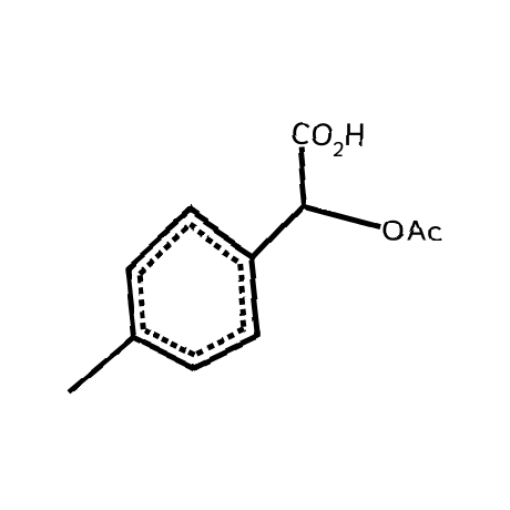 CC(=O)OC(C(=O)O)c1ccc(C)cc1